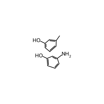 Cc1cccc(O)c1.Nc1cccc(O)c1